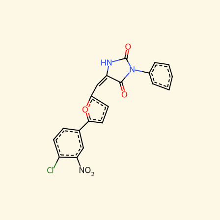 O=C1NC(=Cc2ccc(-c3ccc(Cl)c([N+](=O)[O-])c3)o2)C(=O)N1c1ccccc1